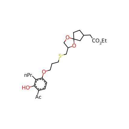 CCCc1c(OCCCSCC2COC3(CCC(CC(=O)OCC)C3)O2)ccc(C(C)=O)c1O